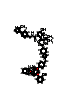 Cc1ncsc1-c1ccc(CNC(=O)[C@@H]2C[C@@H](O)CN2C(=O)[C@@H](NC(=O)[C@H]2CCC3(CC2)C[C@H](CC2CCC(C4=C/N=C(/N5C6CCC5CN(c5cc(-c7ccccc7O)nnc5N)C6)CC/C=C\4)CC2)C3)C(C)(C)C)cc1